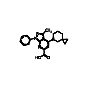 Cc1nn(-c2ccccc2)c2nc(C(=O)O)cc(N3CCCC4(CC4)C3)c12